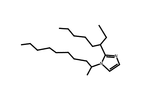 CCCCCCCCC(C)n1ccnc1C(CC)CCCCC